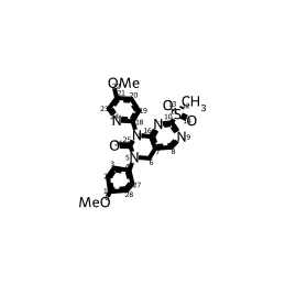 COc1ccc(N2Cc3cnc(S(C)(=O)=O)nc3N(c3ccc(OC)cn3)C2=O)cc1